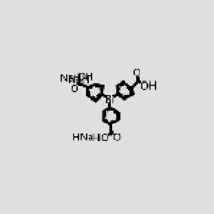 O=C(O)c1cc[c]([Bi]([c]2ccc(C(=O)O)cc2)[c]2ccc(C(=O)O)cc2)cc1.[NaH].[NaH].[NaH]